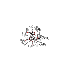 CCCCc1ccc(P(c2ccc(CCCC)c(CCCC)c2CCCC)C(CCC)(P(c2ccc(CCCC)c(CCCC)c2CCCC)c2ccc(CCCC)c(CCCC)c2CCCC)P(c2ccc(CCCC)c(CCCC)c2CCCC)c2ccc(CCCC)c(CCCC)c2CCCC)c(CCCC)c1CCCC